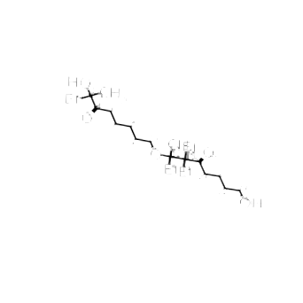 CCC(C)(O)C(=O)CCCCCOC(C)(CC)C(CC)(CC)C(=O)CCCCO